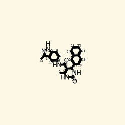 CC1=C(C(=O)Nc2ccc3[nH]nc(C)c3c2)C(c2ccc3ccccc3c2)NC(=O)N1